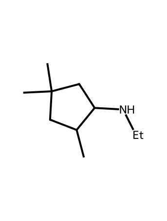 CCNC1CC(C)(C)CC1C